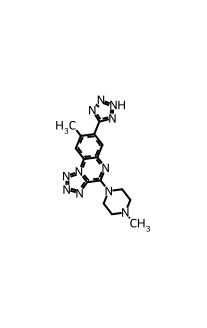 Cc1cc2c(cc1-c1nn[nH]n1)nc(N1CCN(C)CC1)c1nnnn12